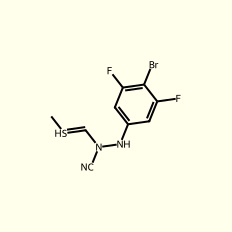 C[SH]=CN(C#N)Nc1cc(F)c(Br)c(F)c1